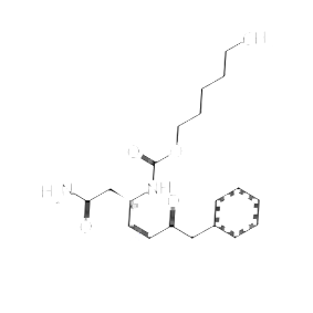 CCCCCCOC(=O)N[C@@H](/C=C\C(=O)Cc1ccccc1)CC(N)=O